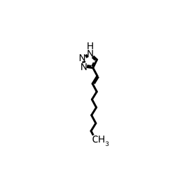 CCCCCCC/C=C/c1c[nH]nn1